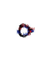 CC(C)C[C@H]1NC(=O)c2ccccc2OCc2cn(nn2)CCCCCCCCNC(=O)[C@H](Cc2cccnc2)N(C)C(=O)[C@H]2[C@@H](O)CCN2C1=O